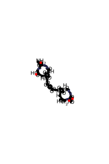 COC1/C=C\C=C(/C)C(=O)NC2=CC(=O)C(NCCOC(=O)c3ccc(C(=O)OCCNC4=C5CC(C)CC(OC)C(O)C(C)/C=C(\C)C(OC(=O)CN)C(OC)/C=C\C=C(/C)C(=O)NC(=CC4=O)C5=O)cc3)=C(CC(C)CC(OC)C(O)C(C)/C=C(\C)C1OC(N)=O)C2=O